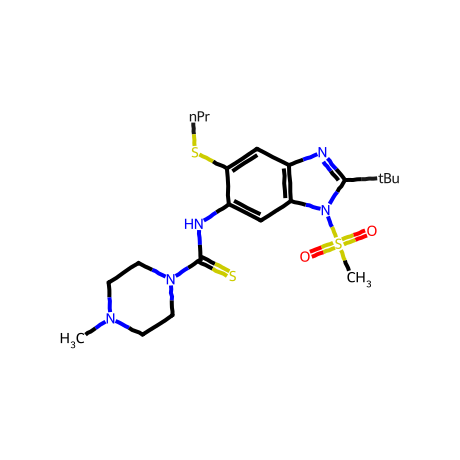 CCCSc1cc2nc(C(C)(C)C)n(S(C)(=O)=O)c2cc1NC(=S)N1CCN(C)CC1